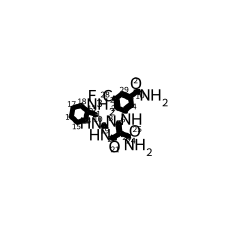 NC(=O)c1cc(Nc2nc(NCC3(N)CCCCC3)[nH]c(=O)c2C(N)=O)cc(C(F)(F)F)c1